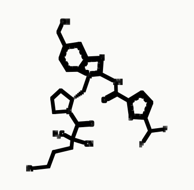 CC(C)CCCC(C)(C#N)C(=O)N1CCC[C@@H]1Cn1c(NC(=O)c2ccc(C(F)F)s2)nc2cc(CO)ccc21